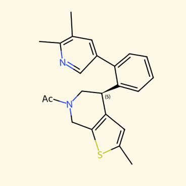 CC(=O)N1Cc2sc(C)cc2[C@H](c2ccccc2-c2cnc(C)c(C)c2)C1